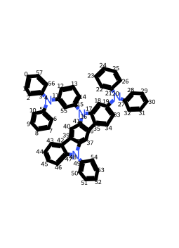 c1ccc(N(c2ccccc2)c2cccc(-n3c4cc(N(c5ccccc5)c5ccccc5)ccc4c4cc5c(cc43)c3ccccc3n5-c3ccccc3)c2)cc1